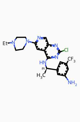 CCN1CCN(c2cc3c(N[C@H](C)c4cc(N)cc(C(F)(F)F)c4)nc(Cl)nc3cn2)CC1